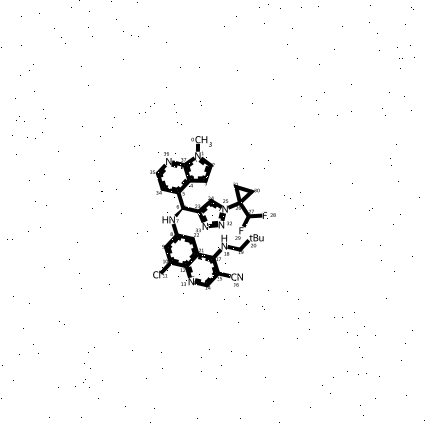 Cn1ccc2c([C@H](Nc3cc(Cl)c4ncc(C#N)c(NCC(C)(C)C)c4c3)c3cn(C4(C(F)F)CC4)nn3)ccnc21